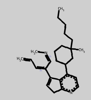 C=C/C=C(\C=N/C)C1=CCc2nccc(C3CCCC(C)(CCCCC)C3)c21